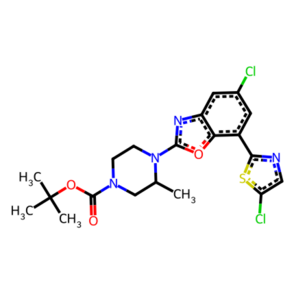 CC1CN(C(=O)OC(C)(C)C)CCN1c1nc2cc(Cl)cc(-c3ncc(Cl)s3)c2o1